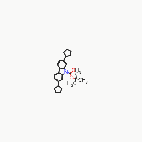 CC(C)(C)OC(=O)n1c2cc(C3CCCC3)ccc2c2ccc(C3CCCC3)cc21